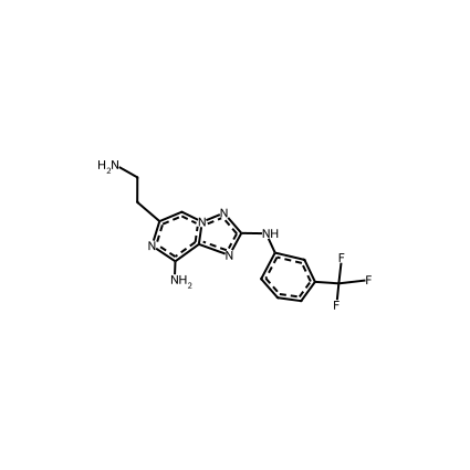 NCCc1cn2nc(Nc3cccc(C(F)(F)F)c3)nc2c(N)n1